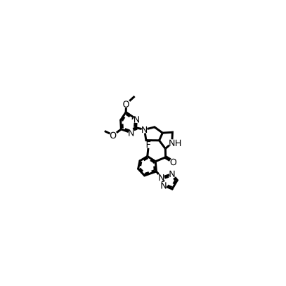 COc1cc(OC)nc(N2CC3CNC(C(=O)c4c(F)cccc4-n4nccn4)C3C2)n1